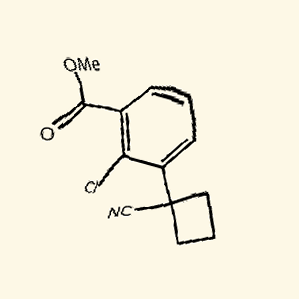 COC(=O)c1cccc(C2(C#N)CCC2)c1Cl